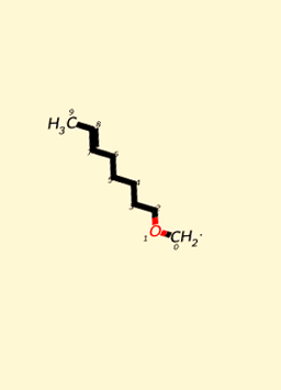 [CH2]OCCCCC/C=C/C